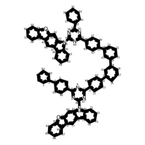 c1ccc(-c2ccc(-c3nc(-c4ccc(-c5cccc(-c6cccc(-c7ccc(-c8nc(-c9ccccc9)nc(-n9c%10ccccc%10c%10cc%11c(cc%109)oc9ccccc9%11)n8)cc7)c6)c5)cc4)nc(-n4c5ccccc5c5cc6c(cc54)oc4ccccc46)n3)cc2)cc1